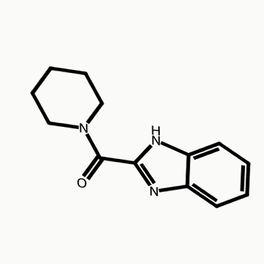 O=C(c1nc2ccccc2[nH]1)N1CCCCC1